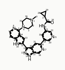 CN1CCN(c2nccc3[nH]c(-c4n[nH]c5cnc(-c6cncc(NC(=O)C7CC7)c6)cc45)cc23)CC1